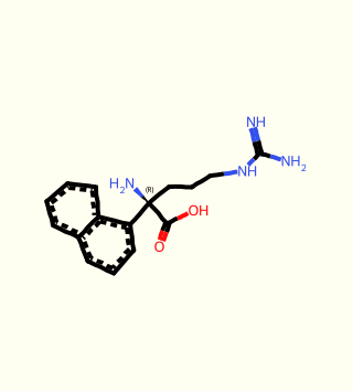 N=C(N)NCCC[C@](N)(C(=O)O)c1cccc2ccccc12